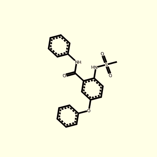 CS(=O)(=O)Nc1ccc(Oc2ccccc2)cc1C(=O)Nc1ccccc1